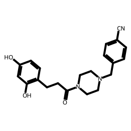 N#Cc1ccc(CN2CCN(C(=O)CCc3ccc(O)cc3O)CC2)cc1